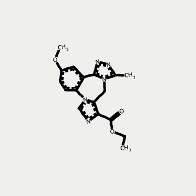 CCOC(=O)c1ncn2c1Cn1c(C)nnc1-c1cc(OC)ccc1-2